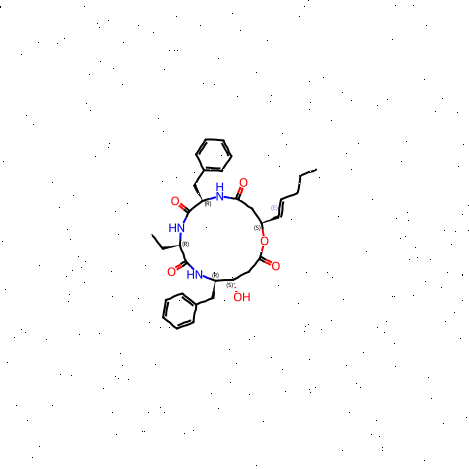 CCC/C=C/[C@@H]1CC(=O)N[C@H](Cc2ccccc2)C(=O)N[C@H](CC)C(=O)N[C@H](Cc2ccccc2)[C@@H](O)CC(=O)O1